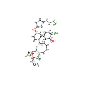 C=C1C/C(c2ccc(O[C@H]3CCN(CCCF)C3)cc2)=C(/c2cccc(F)c2O)CCC/C1=C(F)/C(=C\C)OF